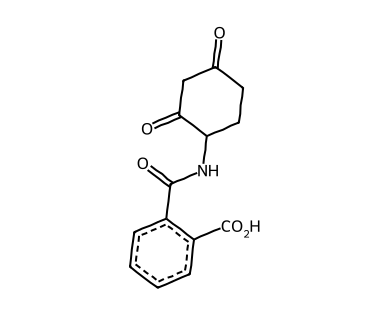 O=C1CCC(NC(=O)c2ccccc2C(=O)O)C(=O)C1